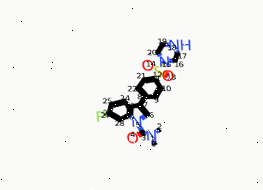 CN(C)C(=O)n1cc(-c2ccc(S(=O)(=O)N3CCNCC3)cc2)c2ccc(F)cc21